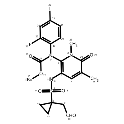 Cc1cc(NS(=O)(=O)C2(CC=O)CC2)c(N(C(=O)OC(C)(C)C)c2ccc(I)cc2F)n(C)c1=O